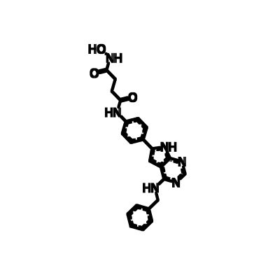 O=C(CCC(=O)Nc1ccc(-c2cc3c(NCc4ccccc4)ncnc3[nH]2)cc1)NO